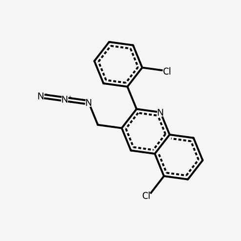 [N-]=[N+]=NCc1cc2c(Cl)cccc2nc1-c1ccccc1Cl